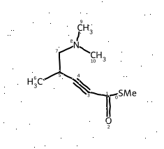 CSC(=O)C#CC(C)CN(C)C